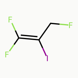 FCC(I)=C(F)F